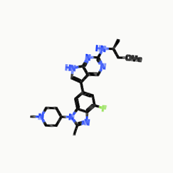 COC[C@H](C)Nc1ncc2c(-c3cc(F)c4nc(C)n(C5CCN(C)CC5)c4c3)c[nH]c2n1